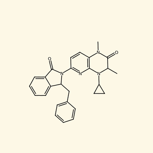 CC1C(=O)N(C)c2ccc(N3C(=O)c4ccccc4C3Cc3ccccc3)nc2N1C1CC1